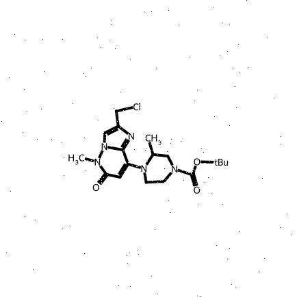 CC1CN(C(=O)OC(C)(C)C)CCN1c1cc(=O)n(C)n2cc(CCl)nc12